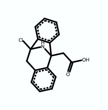 O=C(O)CC12NC(Cl)(Cc3ccccc31)c1ccccc12